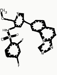 COc1ncc(-c2ccc3ccc4nncn4c3c2)cc1NS(=O)(=O)c1ccc(F)cc1F